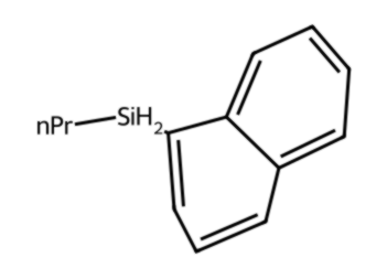 CCC[SiH2]c1cccc2ccccc12